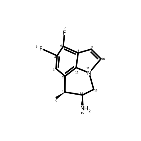 C[C@H]1c2cc(F)c(F)c3ccn(c23)C[C@H]1N